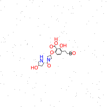 O=BCCc1ccc(OC2CN(C(=O)[C@@H]3C[C@@H](O)CN3)C2)c(C(=O)O)c1O